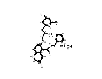 Cc1cc(Br)nc(C[C@@H](N)COc2ccc3ncc(F)cc3c2C(=O)OCc2ccccc2)c1.Cl.Cl